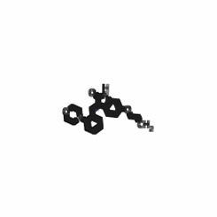 C=CCOc1ccc2c(c1)NC(=O)/C2=C/c1ccccc1N1CCOCC1